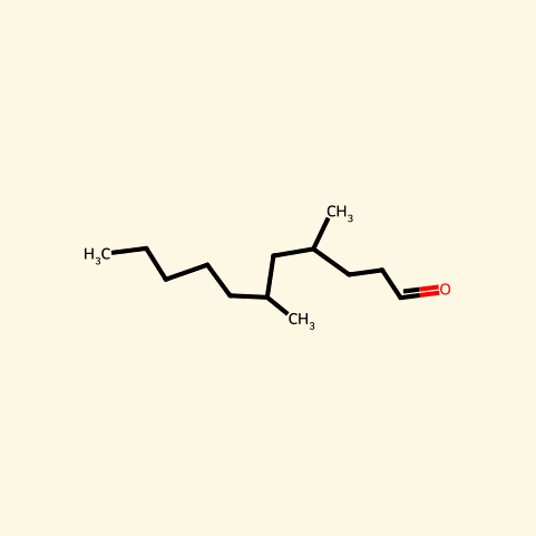 CCCCCC(C)CC(C)CCC=O